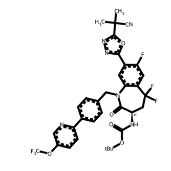 CC(C)(C)OC(=O)N[C@@H]1CC(F)(F)c2cc(F)c(-c3nnc(C(C)(C)C#N)o3)cc2N(Cc2ccc(-c3ccc(OC(F)(F)F)cn3)cc2)C1=O